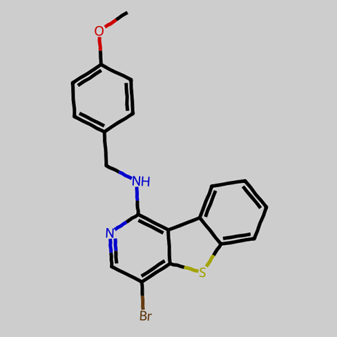 COc1ccc(CNc2ncc(Br)c3sc4ccccc4c23)cc1